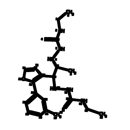 CCNC(=S)NNC(C)C(NNC(=S)NCC)c1ncoc1-c1cccc(C)c1